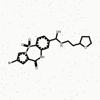 O=C1Nc2cc(C(O)NCCC3CCCO3)ccc2S(=O)(=O)n2cc(Br)cc21